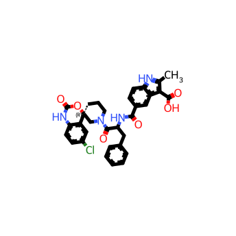 Cc1[nH]c2ccc(C(=O)NC(Cc3ccccc3)C(=O)N3CCC[C@@]4(C3)OC(=O)Nc3ccc(Cl)cc34)cc2c1C(=O)O